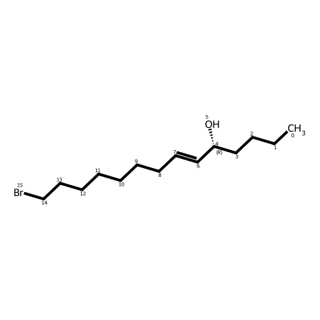 CCCC[C@@H](O)C=CCCCCCCCBr